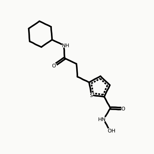 O=C(CCc1ccc(C(=O)NO)s1)NC1CCCCC1